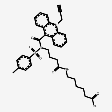 C#CC[n+]1c2ccccc2c(C(=O)N(CCCC(=O)NCCCCCC(=O)O)S(=O)(=O)c2ccc(C)cc2)c2ccccc21